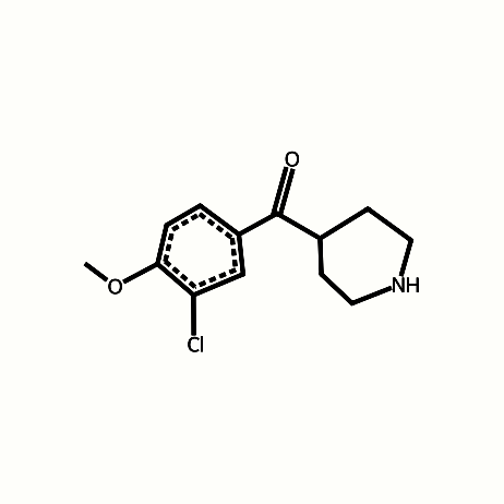 COc1ccc(C(=O)C2CCNCC2)cc1Cl